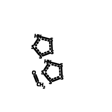 C=O.[nH]1ssss1.[nH]1ssss1